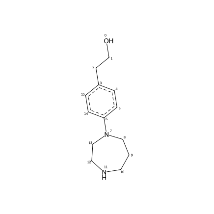 OCCc1ccc(N2CCCNCC2)cc1